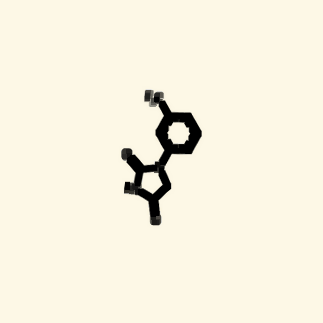 O=C1CN(c2cccc(C(F)(F)F)c2)C(=O)N1